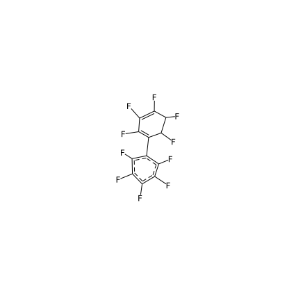 FC1=C(F)C(F)C(F)C(c2c(F)c(F)c(F)c(F)c2F)=C1F